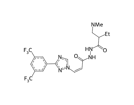 CCC(CNC)C(=O)NNC(=O)/C=C\n1cnc(-c2cc(C(F)(F)F)cc(C(F)(F)F)c2)n1